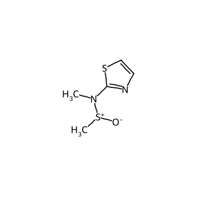 CN(c1nccs1)[S+](C)[O-]